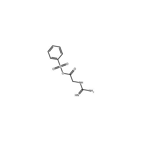 N=C(N)NCC(=O)OS(=O)(=O)c1ccccc1